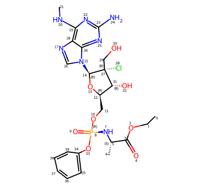 CCOC(=O)[C@H](C)N[P@@](=O)(OC[C@H]1O[C@@H](n2cnc3c(NC)nc(N)nc32)[C@@](Cl)(CO)[C@@H]1O)Oc1ccccc1